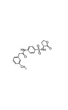 Cc1cccc(CC(=O)Nc2ccc(S(=O)(=O)N[C@H]3CCOC3=O)cc2)c1